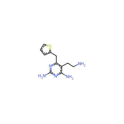 NCCc1c(N)nc(N)nc1Cc1cccs1